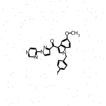 COc1ccc2c(c1)c(C(=O)c1ccn(-c3ccncn3)n1)cn2Cc1ccc(I)cc1